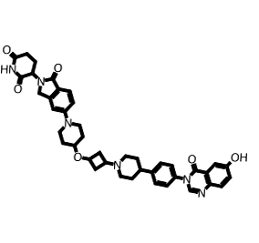 O=C1CCC(N2Cc3cc(N4CCC(OC5CC(N6CCC(c7ccc(-n8cnc9ccc(O)cc9c8=O)cc7)CC6)C5)CC4)ccc3C2=O)C(=O)N1